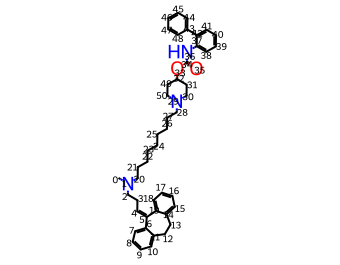 CN(CCC=C1c2ccccc2CCc2ccccc21)CCCCCCCCCN1CCC(OC(=O)Nc2ccccc2-c2ccccc2)CC1